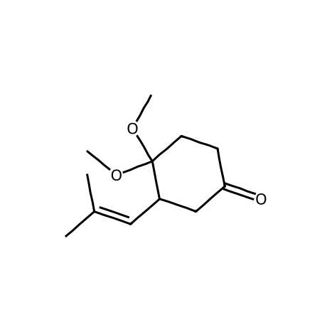 COC1(OC)CCC(=O)CC1C=C(C)C